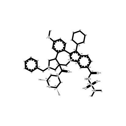 COc1ccc2c(c1)C1CN(Cc3ccccc3)CC1(C(=O)N1C[C@@H](C)O[C@@H](C)C1)Cn1c-2c(C2CCCCC2)c2ccc(C(=O)NS(=O)(=O)N(C)C)cc21